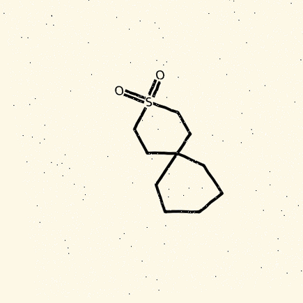 O=S1(=O)CCC2(CCCCC2)CC1